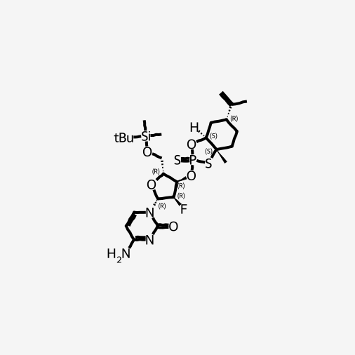 C=C(C)[C@@H]1CC[C@]2(C)SP(=S)(O[C@H]3[C@@H](F)[C@H](n4ccc(N)nc4=O)O[C@@H]3CO[Si](C)(C)C(C)(C)C)O[C@H]2C1